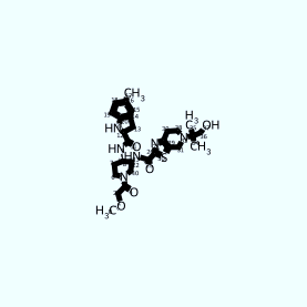 COCC(=O)N1CC[C@H](NC(=O)C2Cc3cc(C)ccc3N2)[C@H](NC(=O)c2nc3c(s2)CN(C(C)(C)CO)CC3)C1